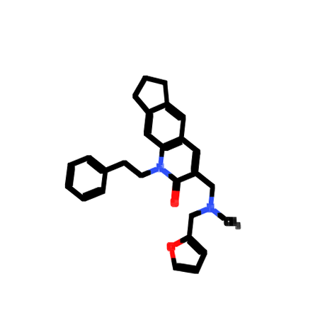 CN(Cc1ccco1)Cc1cc2cc3c(cc2n(CCc2ccccc2)c1=O)CCC3